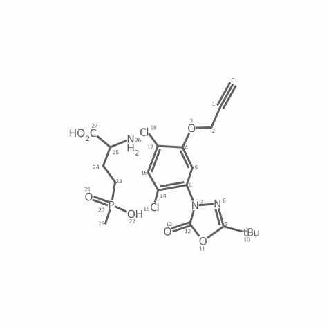 C#CCOc1cc(-n2nc(C(C)(C)C)oc2=O)c(Cl)cc1Cl.CP(=O)(O)CCC(N)C(=O)O